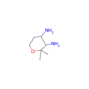 CC1(C)OCCC(N)C1N